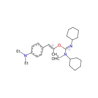 CCN(CC)c1ccc(/C=C(\C)O/C(=N\C2CCCCC2)N(C=O)C2CCCCC2)cc1